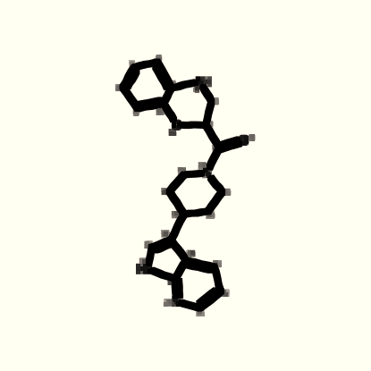 O=C(C1CNc2ccccc2O1)N1CCC(c2c[nH]c3ncccc23)CC1